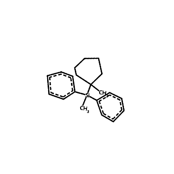 CC1([Si](C)(c2ccccc2)c2ccccc2)CCCCC1